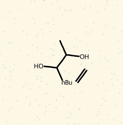 C=C.CCCCC(O)C(C)O